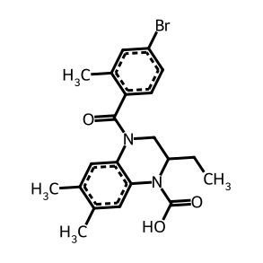 CCC1CN(C(=O)c2ccc(Br)cc2C)c2cc(C)c(C)cc2N1C(=O)O